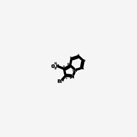 CCc1nn2ccccc2c1[N+](=O)[O-]